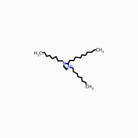 CCCCCCCCCCc1n(CCCCCCCC)cc[n+]1CCCCCCCC